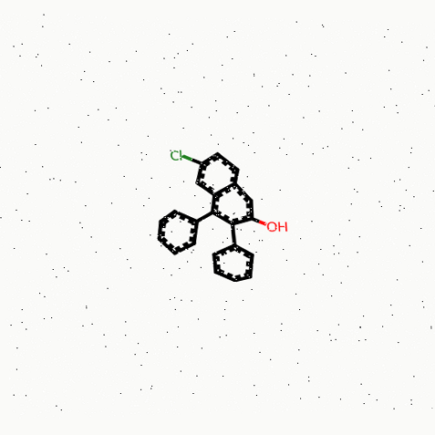 Oc1cc2ccc(Cl)cc2c(-c2ccccc2)c1-c1ccccc1